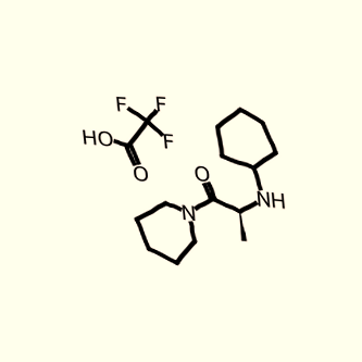 C[C@H](NC1CCCCC1)C(=O)N1CCCCC1.O=C(O)C(F)(F)F